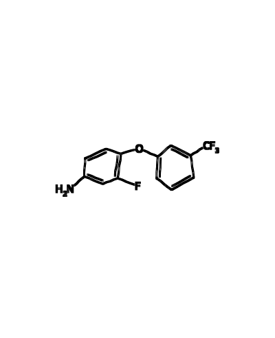 Nc1ccc(Oc2cccc(C(F)(F)F)c2)c(F)c1